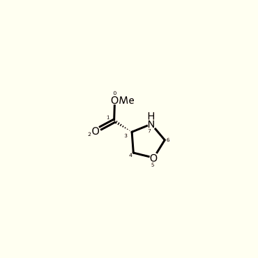 COC(=O)[C@H]1COCN1